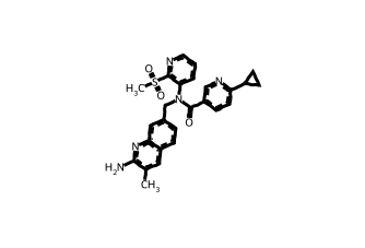 Cc1cc2ccc(CN(C(=O)c3ccc(C4CC4)nc3)c3cccnc3S(C)(=O)=O)cc2nc1N